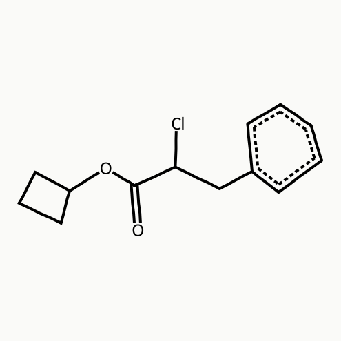 O=C(OC1CCC1)C(Cl)Cc1ccccc1